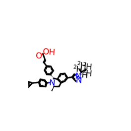 [2H]C([2H])([2H])C([2H])([2H])n1cc(-c2ccc3c(c2)C[C@@H](C)N(c2ccc(C4CC4)cc2)[C@@H]3c2ccc(/C=C/C(=O)O)cc2)cn1